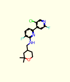 CC1(C)CC(CNc2nc(-c3cc(F)ncc3Cl)ccc2F)CCO1